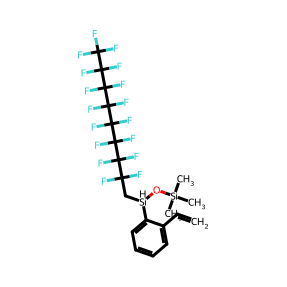 C=Cc1ccccc1[SiH](CC(F)(F)C(F)(F)C(F)(F)C(F)(F)C(F)(F)C(F)(F)C(F)(F)C(F)(F)F)O[Si](C)(C)C